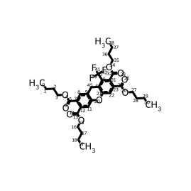 CCCCOC(=O)c1cc2c(cc1C(=O)OCCCC)Oc1cc(C(=O)OCCCC)c(C(=O)OCCCC)c(C(F)(F)F)c1C2